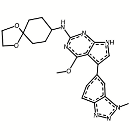 COc1nc(NC2CCC3(CC2)OCCO3)nc2[nH]cc(-c3ccc4nnn(C)c4c3)c12